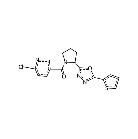 O=C(c1ccc(Cl)nc1)N1CCCC1c1nnc(-c2cccs2)o1